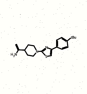 C=C(N)C1CCN(c2nc(-c3ccc(C(C)(C)C)cc3)cs2)CC1